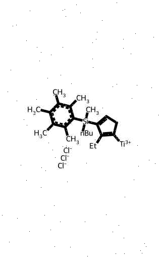 CCCC[Si](C)(C1=CC[C]([Ti+3])=C1CC)c1c(C)c(C)c(C)c(C)c1C.[Cl-].[Cl-].[Cl-]